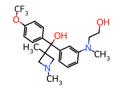 CN1CC(C)(C(O)(c2ccc(OC(F)(F)F)cc2)c2cccc(N(C)CCO)c2)C1